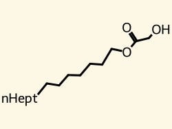 CCCCCCCCCCCCCCOC(=O)CO